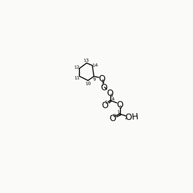 O=C(O)OC(=O)OOOC1CCCCC1